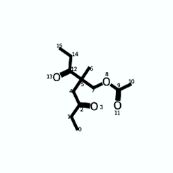 CCC(=O)CC(C)(COC(C)=O)C(=O)CC